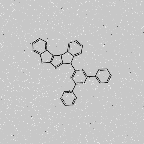 c1ccc(-c2cc(-c3ccccc3)nc(-n3c4ccccc4n4c5c(nc34)oc3ccccc35)n2)cc1